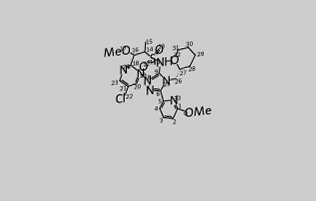 COc1cccc(-c2nnc(NS(=O)(=O)C(C)C(OC)c3ncc(Cl)cn3)n2C[C@H]2CCCCO2)n1